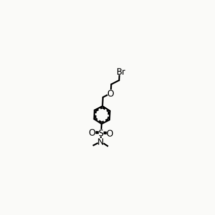 CN(C)S(=O)(=O)c1ccc(COCCBr)cc1